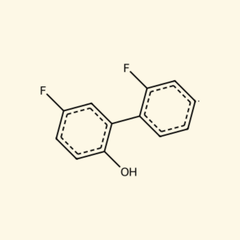 Oc1ccc(F)cc1-c1cc[c]cc1F